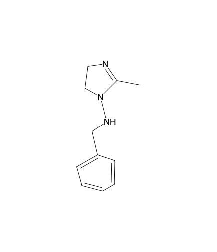 CC1=NCCN1NCc1ccccc1